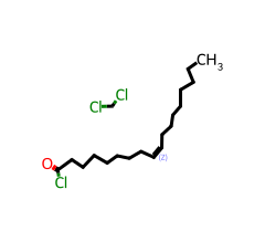 CCCCCCCC/C=C\CCCCCCCC(=O)Cl.ClCCl